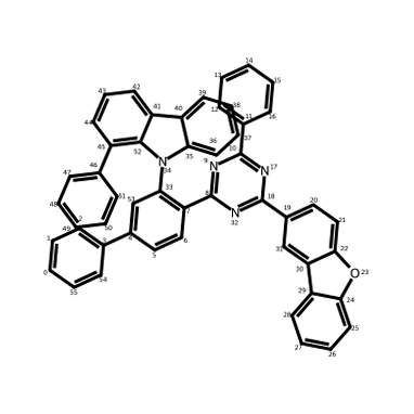 c1ccc(-c2ccc(-c3nc(-c4ccccc4)nc(-c4ccc5oc6ccccc6c5c4)n3)c(-n3c4ccccc4c4cccc(-c5ccccc5)c43)c2)cc1